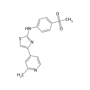 Cc1cc(-c2csc(Nc3ccc(S(C)(=O)=O)cc3)n2)ccn1